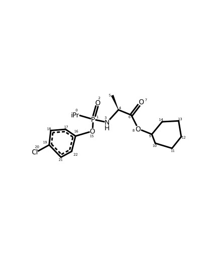 CC(C)P(=O)(N[C@@H](C)C(=O)OC1CCCCC1)Oc1ccc(Cl)cc1